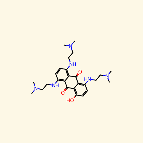 CN(C)CCNc1ccc(O)c2c1C(=O)c1c(NCCN(C)C)ccc(NCCN(C)C)c1C2=O